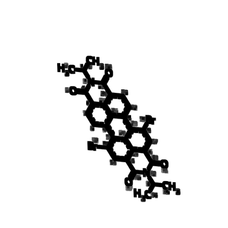 CC(C)N1C(=O)c2ccc3c4c(Br)cc5c6c(cc(Br)c(c7ccc(c2c37)C1=O)c64)C(=O)N(C(C)C)C5=O